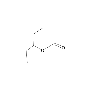 [CH2]CC(CC)OC=O